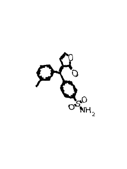 Cc1cccc(C(=C2C=COC2=O)c2ccc(S(N)(=O)=O)cc2)c1